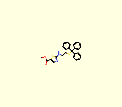 COC(=O)c1cnc(NCCSC(c2ccccc2)(c2ccccc2)c2ccccc2)s1